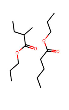 CCCCC(=O)OCCC.CCCOC(=O)C(C)CC